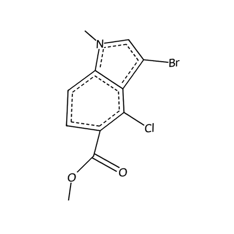 COC(=O)c1ccc2c(c(Br)cn2C)c1Cl